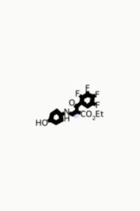 CCOC(=O)/C(=C/Nc1ccc(O)cc1)C(=O)c1cc(F)c(F)c(F)c1F